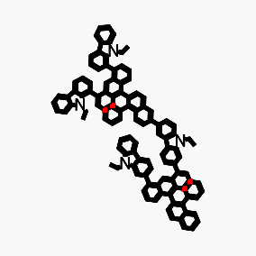 CCn1c2ccccc2c2ccc(-c3cccc4c(-c5ccc6ccccc6c5-c5ccccc5)c5cccc(-c6ccc7c8cc(-c9ccc%10c(-c%11ccccc%11)c(-c%11c%12cccc(-c%13cccc%14c%15ccccc%15n(CC)c%13%14)c%12cc%12c(-c%13cccc%14c%15ccccc%15n(CC)c%13%14)cccc%11%12)ccc%10c9)ccc8n(CC)c7c6)c5cc34)cc21